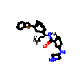 Cc1ccc(NC2CNC2)cc1C(=O)N[C@H](C)c1cccc(-c2cc3ccccc3s2)c1